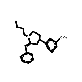 COc1cccc(C2CCN(CCCCl)C(=Cc3ccccc3)C2)c1